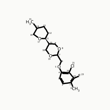 Cc1ccc(OCC2OCC([C@@H]3CCC(C)CO3)CO2)c(Cl)c1F